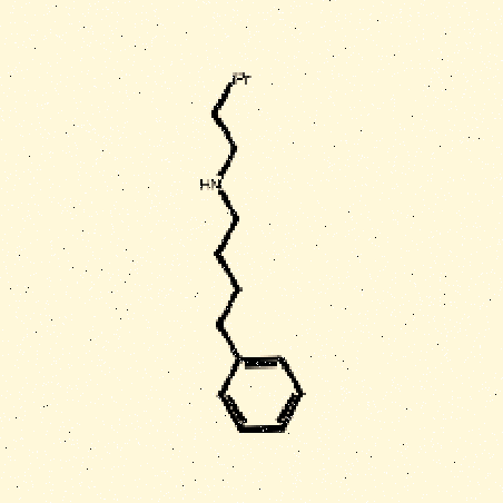 CC(C)CCNCCCCc1ccccc1